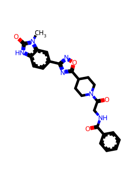 Cn1c(=O)[nH]c2ccc(-c3noc(C4CCN(C(=O)CNC(=O)c5ccccc5)CC4)n3)cc21